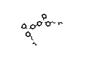 C=CC(=O)OCCc1cccc(N(c2ccccc2)c2ccc(-c3ccc(N(c4ccccc4)c4cccc(CCOC(=O)C=C)c4)cc3)cc2)c1